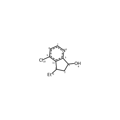 CCC1CC(O)c2nccc(Cl)c21